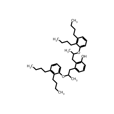 CCCCc1cccc(OC(C)Cc2cccc(O)c2CC(C)Oc2cccc(CCCC)c2CCCC)c1CCCC